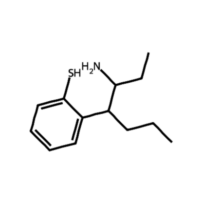 CCCC(c1ccccc1S)C(N)CC